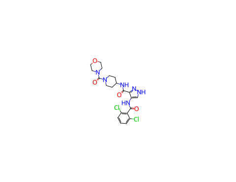 O=C(NC1CCN(C(=O)N2CCOCC2)CC1)c1n[nH]cc1NC(=O)c1c(Cl)cccc1Cl